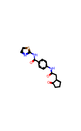 O=C(CC1CCCC1=O)Nc1ccc(C(=O)Nc2nccs2)cc1